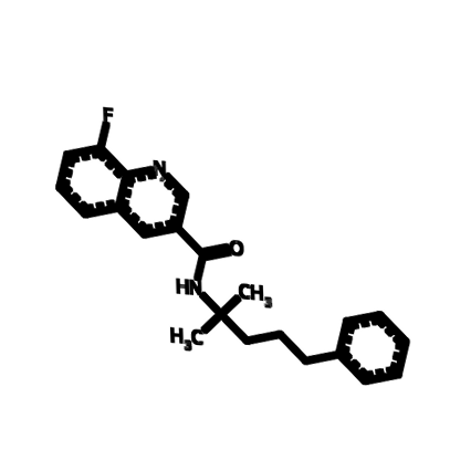 CC(C)(CCCc1ccccc1)NC(=O)c1cnc2c(F)cccc2c1